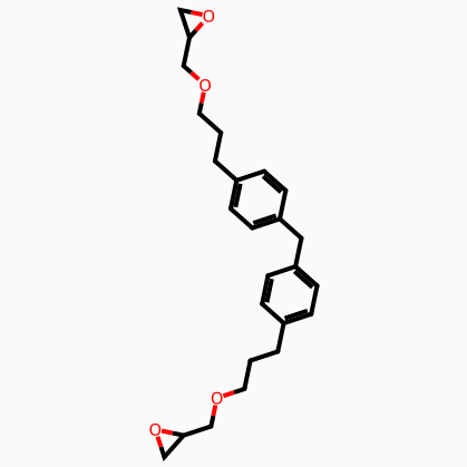 c1cc(Cc2ccc(CCCOCC3CO3)cc2)ccc1CCCOCC1CO1